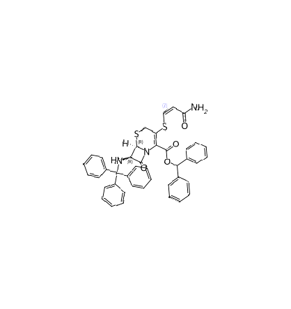 NC(=O)/C=C\SC1=C(C(=O)OC(c2ccccc2)c2ccccc2)N2C(=O)[C@@H](NC(c3ccccc3)(c3ccccc3)c3ccccc3)[C@H]2SC1